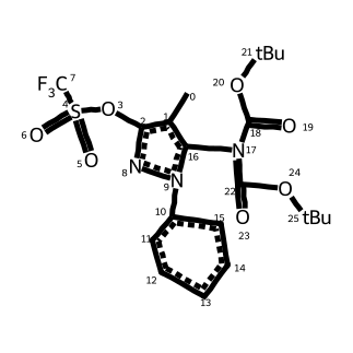 Cc1c(OS(=O)(=O)C(F)(F)F)nn(-c2ccccc2)c1N(C(=O)OC(C)(C)C)C(=O)OC(C)(C)C